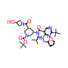 CC(C)CN(C(=O)c1cnc(C(C)(C)C)nc1NCc1ccco1)C1CC(C(=O)N2CC(O)C2)CN(C(=O)OC(C)(C)C)C1